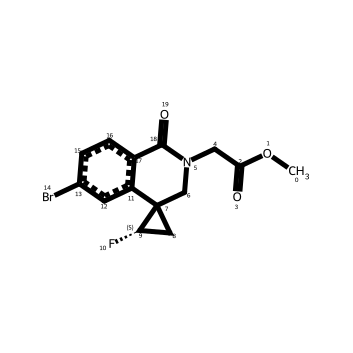 COC(=O)CN1CC2(C[C@@H]2F)c2cc(Br)ccc2C1=O